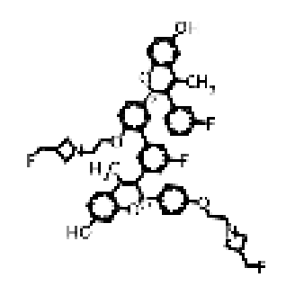 CC1=C(c2cc(F)cc(-c3cc([C@H]4Oc5ccc(O)cc5C(C)=C4c4cccc(F)c4)ccc3OCCN3CC(CF)C3)c2)[C@@H](c2ccc(OCCN3CC(CF)C3)cc2)Oc2cc(O)ccc21